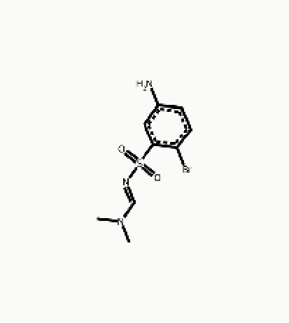 CN(C)/C=N/S(=O)(=O)c1cc(N)ccc1Br